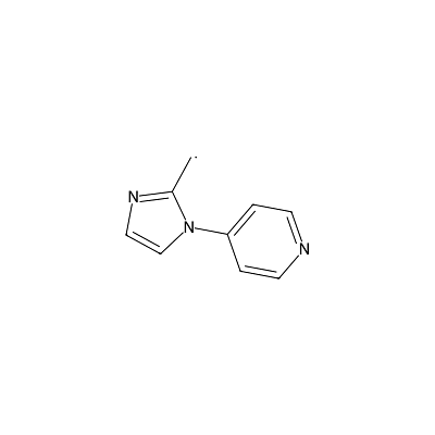 [CH2]c1nccn1-c1ccncc1